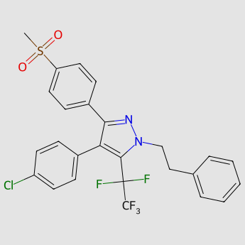 CS(=O)(=O)c1ccc(-c2nn(CCc3ccccc3)c(C(F)(F)C(F)(F)F)c2-c2ccc(Cl)cc2)cc1